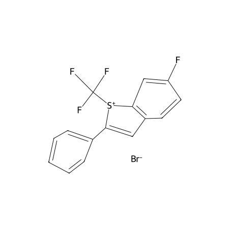 Fc1ccc2cc(-c3ccccc3)[s+](C(F)(F)F)c2c1.[Br-]